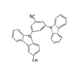 N#Cc1cc(-n2c3ccccc3c3ccccc32)cc(-n2c3ccccc3c3cc(C#N)ccc32)c1